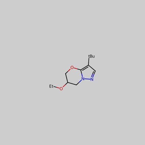 CCOC1COc2c(C(C)(C)C)cnn2C1